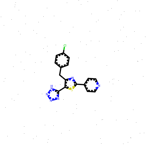 Clc1ccc(Cc2nc(-c3ccncc3)sc2-c2nnn[nH]2)cc1